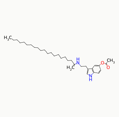 C=C(CCCCCCCCCCCCCCCCCCC)NCCc1c[nH]c2ccc(OC(C)=O)cc12